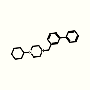 c1ccc(-c2cccc(CN3CCN(C4CCCCC4)CC3)c2)cc1